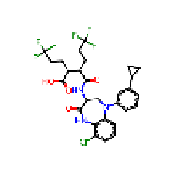 O=C1Nc2c(Cl)cccc2N(c2cccc(C3CC3)c2)C[C@@H]1NC(=O)[C@H](CCC(F)(F)F)[C@H](CCC(F)(F)F)C(=O)O